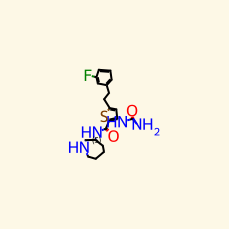 NC(=O)Nc1cc(CCc2cccc(F)c2)sc1C(=O)N[C@H]1CCCCNC1